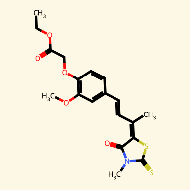 CCOC(=O)COc1ccc(/C=C/C(C)=C2/SC(=S)N(C)C2=O)cc1OC